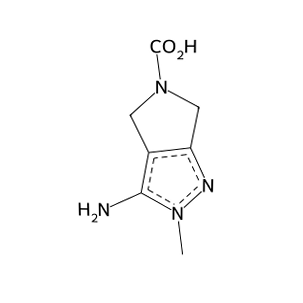 Cn1nc2c(c1N)CN(C(=O)O)C2